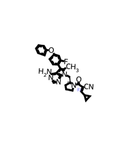 Cc1c(-c2ccc(Oc3ccccc3)cc2F)c2c(N)ncnc2n1C[C@@H]1CCCN1C(=O)/C(C#N)=C/C1CC1